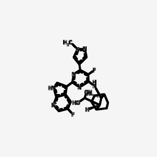 Cn1cc(-c2nc(-c3c[nH]c4ncc(F)cc34)nc(N[C@H]3C4CCC(CC4)[C@@H]3C(O)O)c2F)cn1